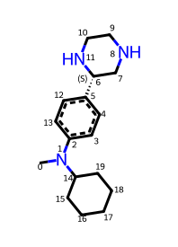 CN(c1ccc([C@H]2CNCCN2)cc1)C1CCCCC1